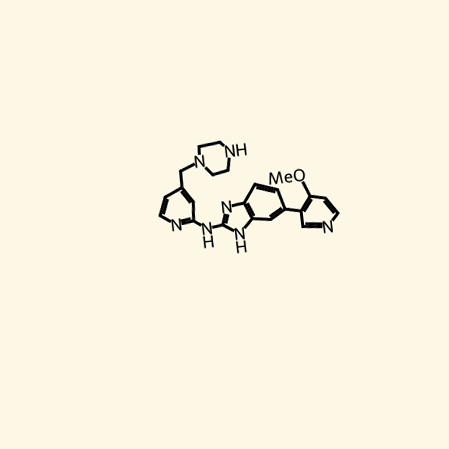 COc1ccncc1-c1ccc2nc(Nc3cc(CN4CCNCC4)ccn3)[nH]c2c1